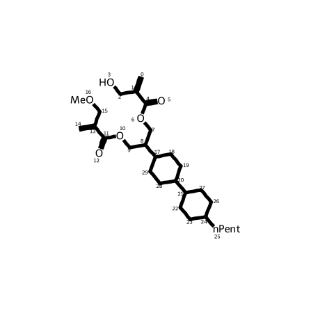 C=C(CO)C(=O)OCC(COC(=O)C(=C)COC)C1CCC(C2CCC(CCCCC)CC2)CC1